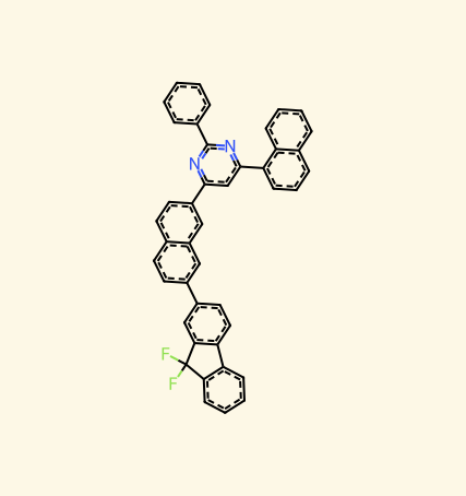 FC1(F)c2ccccc2-c2ccc(-c3ccc4ccc(-c5cc(-c6cccc7ccccc67)nc(-c6ccccc6)n5)cc4c3)cc21